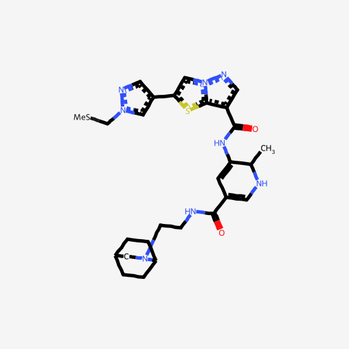 CSCn1cc(-c2cn3ncc(C(=O)NC4=CC(C(=O)NCCN5CC6CCC5CC6)=CNC4C)c3s2)cn1